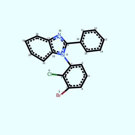 Clc1c(Br)cccc1-n1c(-c2ccccc2)nc2ccccc21